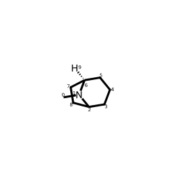 CN1C2CCC[C@@H]1CC2